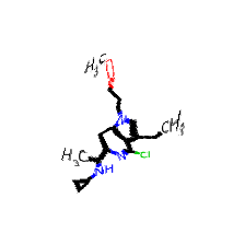 CCc1cn(CCCOC)c2cc(C(C)NC3CC3)nc(Cl)c12